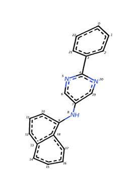 c1ccc(-c2ncc(Nc3cccc4ccccc34)cn2)cc1